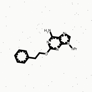 CCCn1cnc2c(N)nc(OCCc3ccccc3)nc21